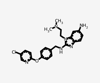 CN(C)CCn1c(NCc2ccc(Oc3ccc(Cl)cn3)cc2)nc2ccc(N)cc21